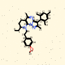 CCC1CCc2c(C)nc3c(-c4c(C)cc(C)cc4C)c(C)nn3c2N1CCc1ccc(OC)cc1